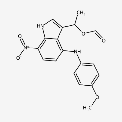 COc1ccc(Nc2ccc([N+](=O)[O-])c3[nH]cc(C(C)OC=O)c23)cc1